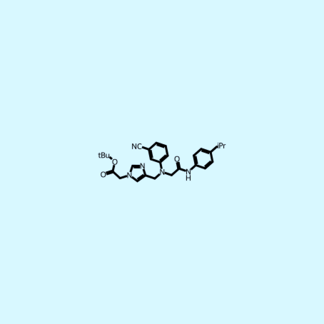 CC(C)c1ccc(NC(=O)CN(Cc2cn(CC(=O)OC(C)(C)C)cn2)c2cccc(C#N)c2)cc1